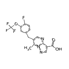 Cc1c(Cc2ccc(F)c(OC(F)(F)F)c2)cnc2c(C(=O)O)cnn12